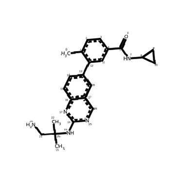 Cc1ccc(C(=O)NC2CC2)cc1-c1ccc2nc(NC(C)(C)CN)ncc2c1